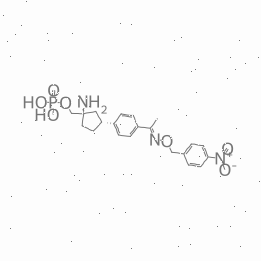 C/C(=N\OCc1ccc([N+](=O)[O-])cc1)c1ccc([C@@H]2CC[C@](N)(COP(=O)(O)O)C2)cc1